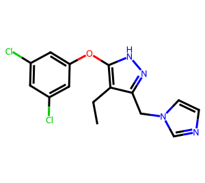 CCc1c(Cn2ccnc2)n[nH]c1Oc1cc(Cl)cc(Cl)c1